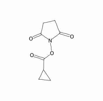 O=C(ON1C(=O)CCC1=O)C1CC1